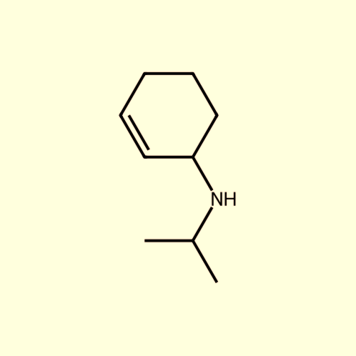 CC(C)NC1C=CCCC1